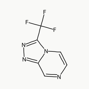 FC(F)(F)c1nnc2cnccn12